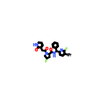 CC(C)c1ccc(C(NC(=O)C2CC(F)CN2C(=O)Cc2ccc[nH]c2=O)c2ccccc2)nc1F